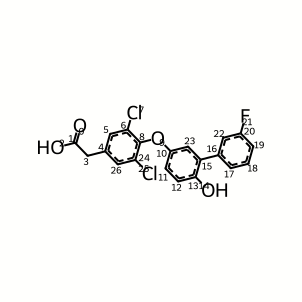 O=C(O)Cc1cc(Cl)c(Oc2ccc(O)c(-c3cccc(F)c3)c2)c(Cl)c1